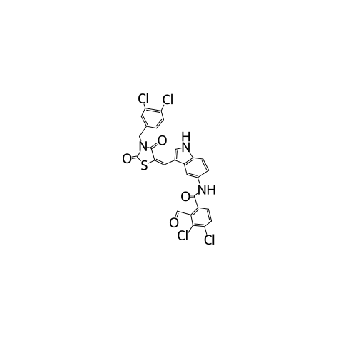 O=Cc1c(C(=O)Nc2ccc3[nH]cc(C=C4SC(=O)N(Cc5ccc(Cl)c(Cl)c5)C4=O)c3c2)ccc(Cl)c1Cl